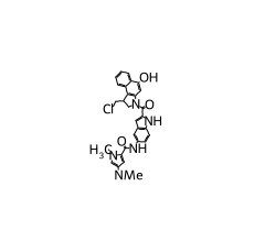 CNc1cc(C(=O)Nc2ccc3[nH]c(C(=O)N4CC(CCl)c5c4cc(O)c4ccccc54)cc3c2)n(C)c1